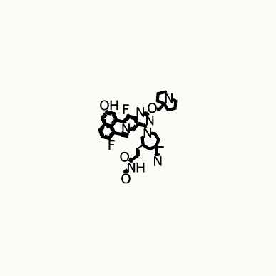 C#Cc1c(F)ccc2cc(O)cc(-c3ncc4c(N5CC[C@](C)(C#N)C[C@@H](C=CC(=O)NC=O)C5)nc(OCC56CCCN5CCC6)nc4c3F)c12